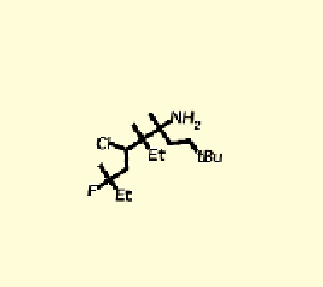 CCC(C)(F)CC(Cl)C(C)(CC)C(C)(N)CCC(C)(C)C